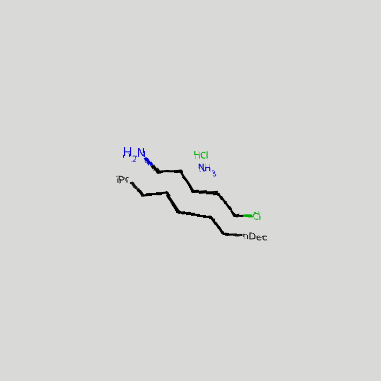 CCCCCCCCCCCCCCCC(C)C.Cl.N.NCCCCCCl